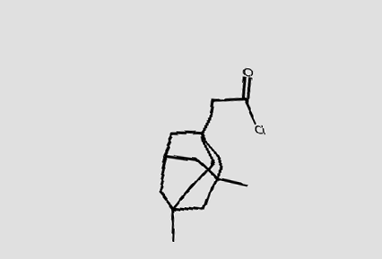 CC12CC3CC(C)(C1)CC(CC(=O)Cl)(C3)C2